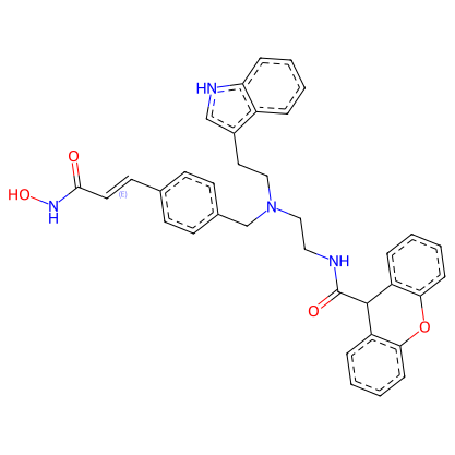 O=C(/C=C/c1ccc(CN(CCNC(=O)C2c3ccccc3Oc3ccccc32)CCc2c[nH]c3ccccc23)cc1)NO